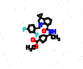 COC(=O)c1ccc([C@H](C)NC(=O)c2cccc3c2N(Cc2ccc(F)cc2F)CC32CC2)cc1